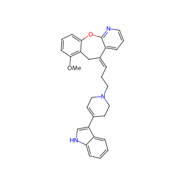 COc1cccc2c1CC(=CCCN1CC=C(c3c[nH]c4ccccc34)CC1)c1cccnc1O2